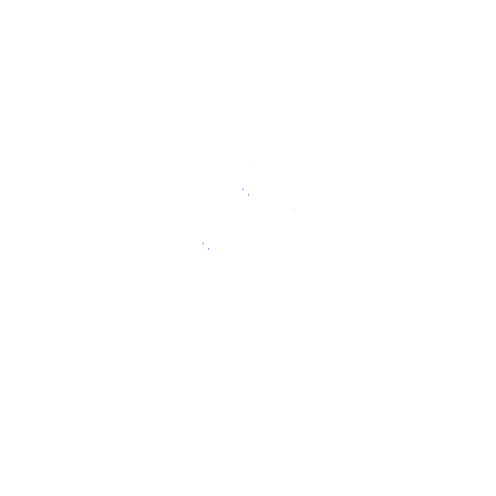 CC(=O)N(C)C1CCN(Cc2ccc(Br)cc2)C1